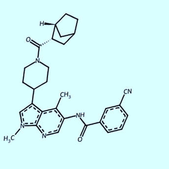 Cc1c(NC(=O)c2cccc(C#N)c2)cnc2c1c(C1CCN(C(=O)[C@H]3CC4CC[C@@H]3C4)CC1)cn2C